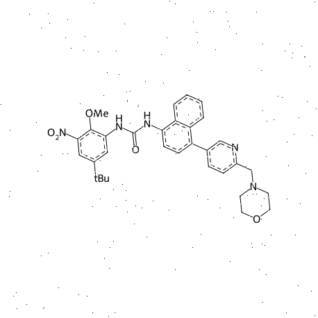 COc1c(NC(=O)Nc2ccc(-c3ccc(CN4CCOCC4)nc3)c3ccccc23)cc(C(C)(C)C)cc1[N+](=O)[O-]